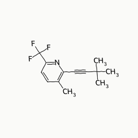 Cc1ccc(C(F)(F)F)nc1C#CC(C)(C)C